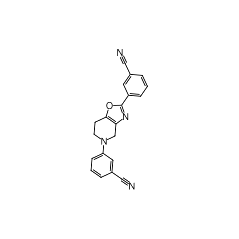 N#Cc1cccc(-c2nc3c(o2)CCN(c2cccc(C#N)c2)C3)c1